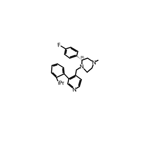 CC(C)c1ccccc1-c1cnccc1CN1CCN(C)C[C@H]1c1ccc(F)cc1